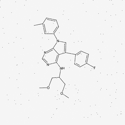 COCC(COC)Nc1ncnc2c1c(-c1ccc(F)cc1)cn2-c1cccc(C)c1